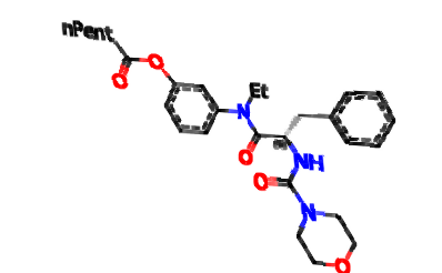 CCCCCC(=O)Oc1cccc(N(CC)C(=O)[C@H](Cc2ccccc2)NC(=O)N2CCOCC2)c1